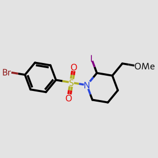 COCC1CCCN(S(=O)(=O)c2ccc(Br)cc2)C1I